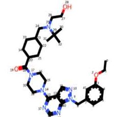 CCOc1cccc(Cn2ncc3c(N4CCN(C(=O)C5CCC(CN(CCO)C(C)(C)C)CC5)CC4)ncnc32)c1